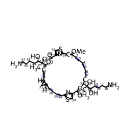 CO[C@H]1/C=C/C=C\C=C/C[C@@H](C(C)(C)[C@@H](O)/C=C/CCN)OC(=O)c2csc(n2)/C=C\C=C\[C@@H]2C[C@@H]2/C=C\C[C@@H](C(C)(C)[C@@H](O)CCCCN)OC(=O)c2csc(n2)C1